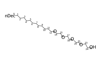 CCCCCCCCCCCCCCCCCCCCCCOCCOCCOCCOCCO